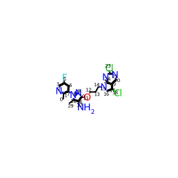 Cc1ncc(F)cc1-n1nc(OCCCn2cc(Cl)c3cnc(Cl)nc32)c(N)c1C